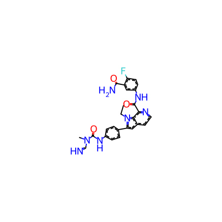 CCn1c(-c2ccc(NC(=O)N(C)C=N)cc2)cc2ccnc(C(=O)Nc3ccc(F)c(C(N)=O)c3)c21